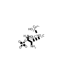 CC(=O)O.CC(=O)O.CC(=O)O.CC(=O)O.NCCN.O=S(=O)([O-])[O-].[Cu+2]